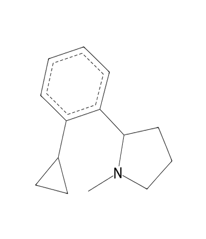 CN1CCCC1c1ccccc1C1CC1